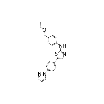 CCOCc1ccc(Nc2ncc(-c3ccc(-n4cccn4)cc3)s2)c(C)c1